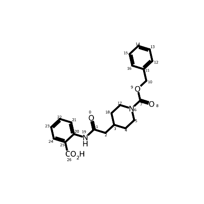 O=C(CC1CCN(C(=O)OCc2ccccc2)CC1)Nc1ccccc1C(=O)O